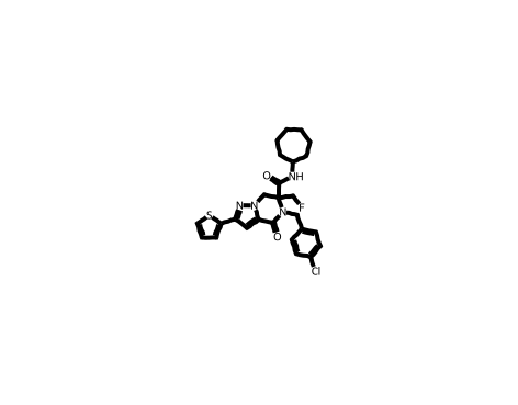 O=C1c2cc(-c3cccs3)nn2CC(CF)(C(=O)NC2CCCCCC2)N1Cc1ccc(Cl)cc1